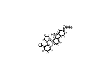 COc1ccc2c(c1)[nH]c1c(N3CCCC3c3ccccc3Cl)nccc12